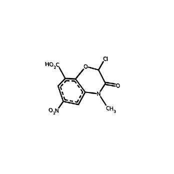 CN1C(=O)C(Cl)Oc2c(C(=O)O)cc([N+](=O)[O-])cc21